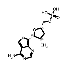 C[C@H]1C[C@@H](COP(=O)(O)O)O[C@H]1c1scc2c(N)ncnc12